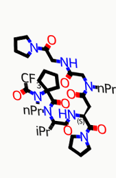 CCCN(CC(=O)NCC(=O)N1CCCC1)C(=O)C[C@H](NC(=O)C(C(C)C)N(CCC)C(=O)C1(N(C)C(=O)C(F)(F)F)CCCC1)C(=O)N1CCCC1